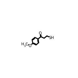 COc1ccc(C(=O)CCS)cc1